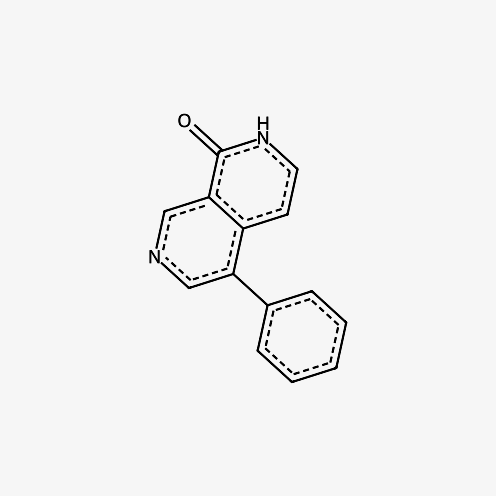 O=c1[nH]ccc2c(-c3ccccc3)cncc12